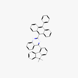 CC1(C)c2ccccc2-c2c(-c3nc(-c4c5ccccc5c(-c5ccccc5)c5ccccc45)nc4ccccc34)cccc21